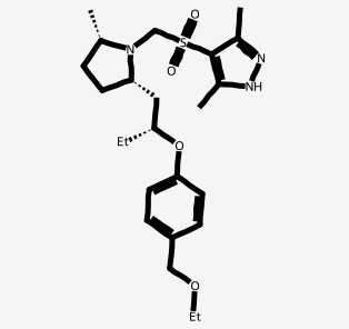 CCOCc1ccc(O[C@H](CC)C[C@@H]2CC[C@H](C)N2CS(=O)(=O)c2c(C)n[nH]c2C)cc1